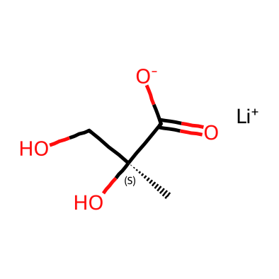 C[C@](O)(CO)C(=O)[O-].[Li+]